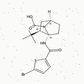 CC(C)(C)[C@H]1C[C@H]2CC[C@]1(NC(=O)c1ccc(Br)s1)N2C(=O)O